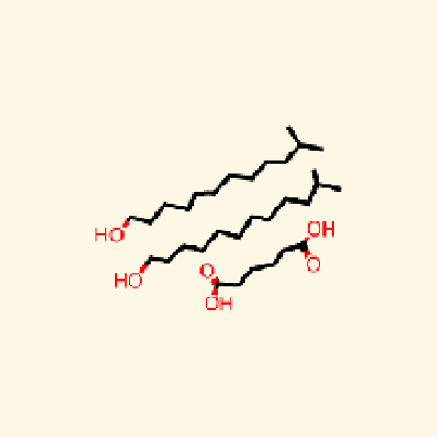 CC(C)CCCCCCCCCCO.CC(C)CCCCCCCCCCO.O=C(O)CCCCC(=O)O